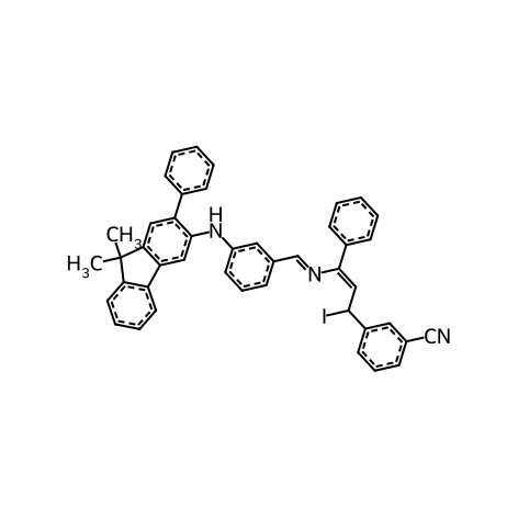 CC1(C)c2ccccc2-c2cc(Nc3cccc(/C=N/C(=C\C(I)c4cccc(C#N)c4)c4ccccc4)c3)c(-c3ccccc3)cc21